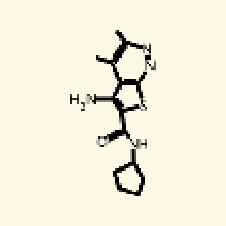 Cc1nnc2sc(C(=O)NC3CCCC3)c(N)c2c1C